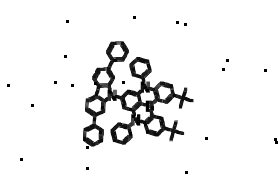 CC(C)(C)c1ccc2c(c1)B1c3cc(C(C)(C)C)ccc3N(c3ccccc3)c3cc(-n4c5cc(-c6ccccc6)ccc5c5ccc(-c6ccccc6)cc54)cc(c31)N2c1ccccc1